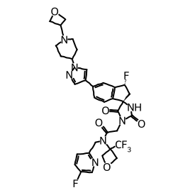 O=C1N[C@]2(C[C@@H](F)c3cc(-c4cnn(C5CCN(C6COC6)CC5)c4)ccc32)C(=O)N1CC(=O)N(Cc1ccc(F)cn1)C1(C(F)(F)F)COC1